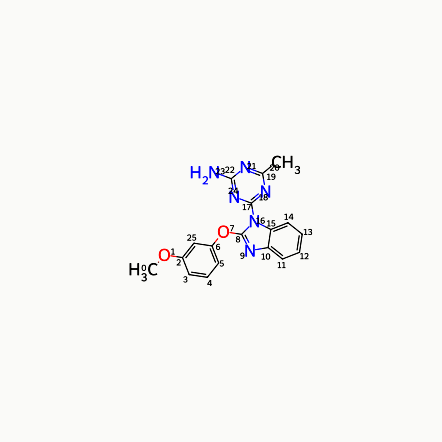 COc1cccc(Oc2nc3ccccc3n2-c2nc(C)nc(N)n2)c1